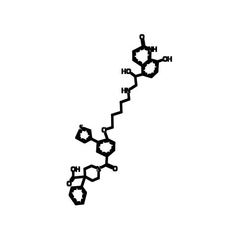 O=C(c1ccc(OCCCCCNCC(O)c2ccc(O)c3[nH]c(=O)ccc23)c(-c2ccsc2)c1)N1CCC(C(=O)O)(c2ccccc2)CC1